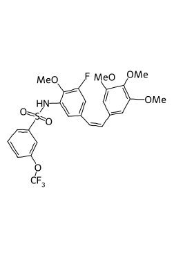 COc1cc(/C=C\c2cc(F)c(OC)c(NS(=O)(=O)c3cccc(OC(F)(F)F)c3)c2)cc(OC)c1OC